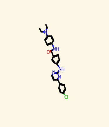 CCN(CC)c1ccc(NC(=O)c2ccc(Nc3nccc(-c4ccc(Cl)cc4)n3)cc2)cc1